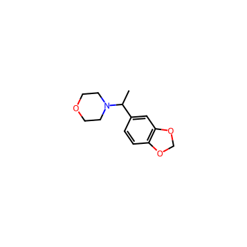 CC(c1ccc2c(c1)OCO2)N1CCOCC1